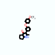 Cc1[nH]c2c(c(=O)c1-c1cccc(Oc3ccc(OC(F)(F)F)cc3)c1)CCCC2